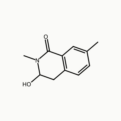 Cc1ccc2c(c1)C(=O)N(C)C(O)C2